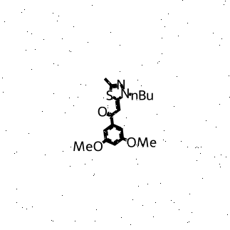 CCCCN1N=C(C)SC1=CC(=O)c1cc(OC)cc(OC)c1